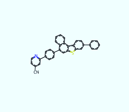 N#Cc1ccnc(-c2ccc(-c3cc4sc5cc(-c6ccccc6)ccc5c4c4ccccc34)cc2)c1